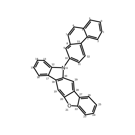 c1ccc2c(c1)ccc1cc(-n3c4ccccc4c4cc5oc6ccccc6c5cc43)ccc12